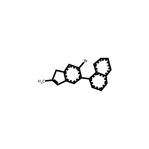 CC1=Cc2cc(-c3cccc4ccccc34)c(Br)cc2C1